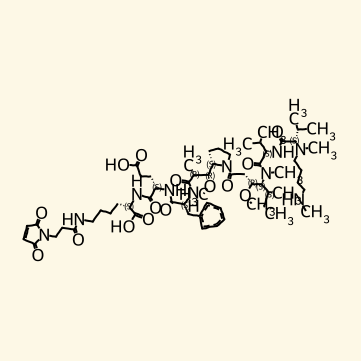 CC[C@H](C)[C@@H]([C@@H](CC(=O)N1CCC[C@H]1[C@H](OC)[C@@H](C)C(=O)N[C@@H](Cc1ccccc1)C(=O)N[C@@H](CCC(=O)O)C(=O)N[C@@H](CCCCNC(=O)CCN1C(=O)C=CC1=O)C(=O)O)OC)N(C)C(=O)[C@@H](NC(=O)[C@H](C(C)C)N(C)CCCCNC)C(C)C